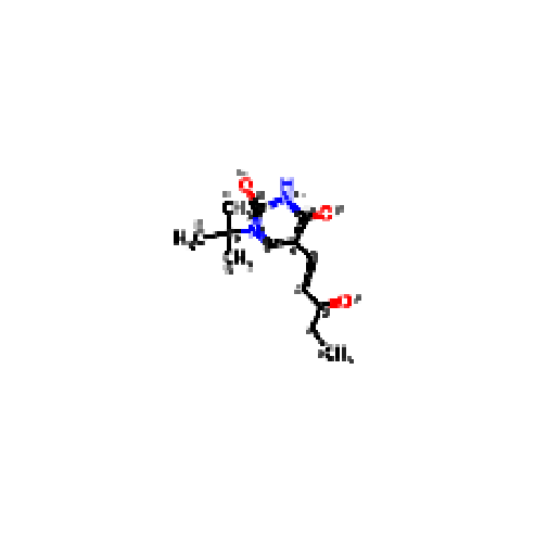 CCC(=O)/C=C/c1cn(C(C)(C)C)c(=O)[nH]c1=O